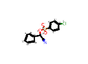 N#CC(OS(=O)(=O)c1ccc(Cl)cc1)c1ccccc1